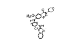 COc1cc(C(=O)NC2CCOCC2)c(F)cc1Nc1ncc(C(F)(F)F)c(N[C@@H]2Cc3ccccc3[C@H]2C)n1